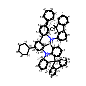 CC1(C)c2ccccc2-c2cccc(N3B4c5cccc6c5N(c5ccccc5C65c6ccccc6-c6ccccc65)c5cc(C6CCCCC6)cc(c54)-c4ccc(-c5ccccc5)cc43)c21